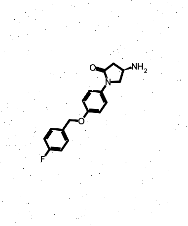 N[C@@H]1CC(=O)N(c2ccc(OCc3ccc(F)cc3)cc2)C1